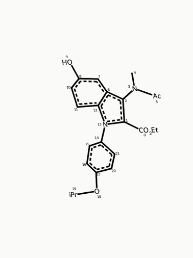 CCOC(=O)c1c(N(C)C(C)=O)c2cc(O)ccc2n1-c1ccc(OC(C)C)cc1